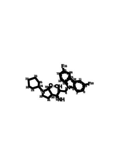 N=C(C(O)Cn1c2ccc(F)cc2c2cc(F)ccc21)C1CCN(C2CCCCC2)C1=O